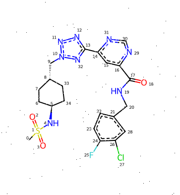 CS(=O)(=O)N[C@H]1CC[C@H](Cn2nnc(-c3cc(C(=O)NCc4ccc(F)c(Cl)c4)ncn3)n2)CC1